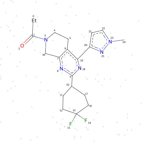 CCC(=O)N1CCc2c(nc(C3CCC(F)(F)CC3)nc2-c2ccn(C)n2)C1